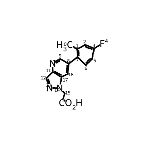 Cc1cc(F)ccc1-c1cnc2cnn(CC(=O)O)c2c1